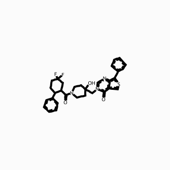 O=C(C1CC(F)(F)CCC1c1ccccc1)N1CCC(O)(Cn2cnc3c(-c4ccccc4)scc3c2=O)CC1